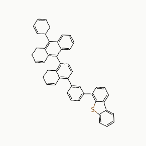 C1=CCC(c2c3c(c(-c4ccc(-c5cccc(-c6cccc7c6sc6ccccc67)c5)c5c4CCC=C5)c4ccccc24)C=CCC3)C=C1